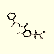 CCCCN(CC)S(=O)(=O)c1ccc(Cl)c(C(=O)OCC(=O)c2ccccc2)c1